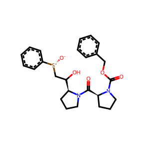 O=C(OCc1ccccc1)N1CCC[C@H]1C(=O)N1CCC[C@H]1C(O)C[S@@+]([O-])c1ccccc1